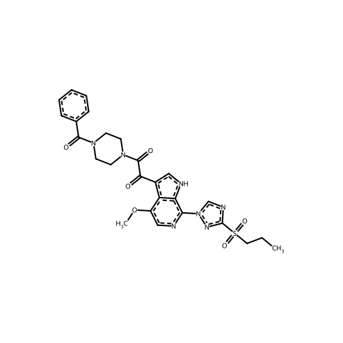 CCCS(=O)(=O)c1ncn(-c2ncc(OC)c3c(C(=O)C(=O)N4CCN(C(=O)c5ccccc5)CC4)c[nH]c23)n1